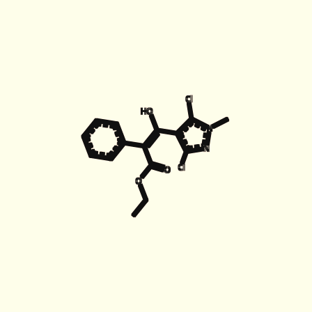 CCOC(=O)/C(=C(/O)c1c(Cl)nn(C)c1Cl)c1ccccc1